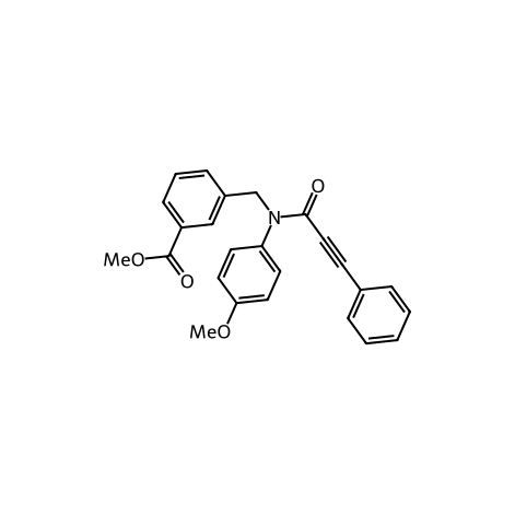 COC(=O)c1cccc(CN(C(=O)C#Cc2ccccc2)c2ccc(OC)cc2)c1